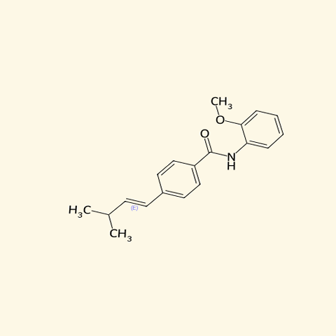 COc1ccccc1NC(=O)c1ccc(/C=C/C(C)C)cc1